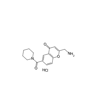 Cl.NCc1cc(=O)c2cc(C(=O)N3CCCCC3)ccc2o1